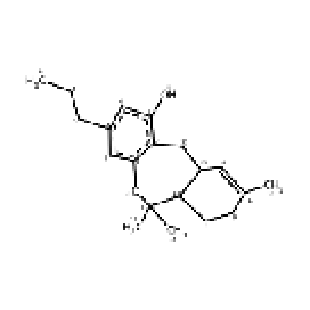 CCCc1cc(O)c2c(c1)OC(C)(C)C1CCC(C)=CC1C2